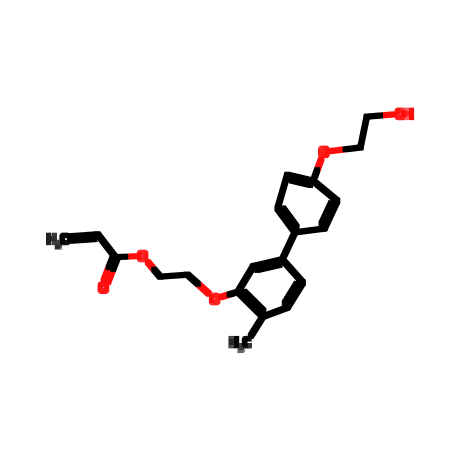 C=CC(=O)OCCOc1cc(-c2ccc(OCCO)cc2)ccc1C